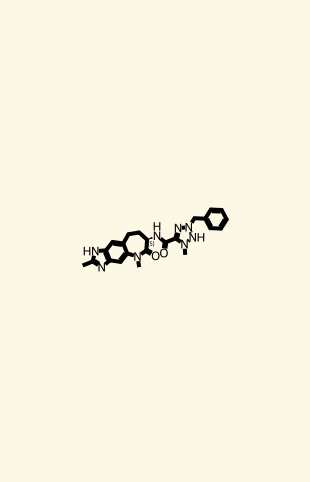 Cc1nc2cc3c(cc2[nH]1)CC[C@H](NC(=O)C1=NN(Cc2ccccc2)NN1C)C(=O)N3C